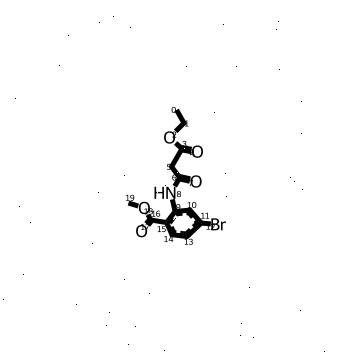 CCOC(=O)CC(=O)Nc1cc(Br)ccc1C(=O)OC